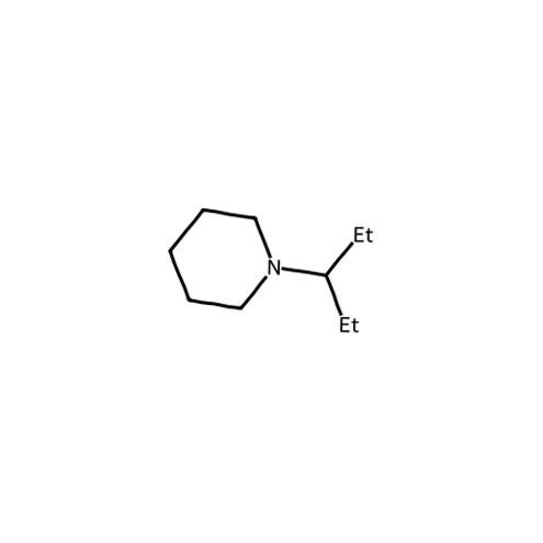 [CH2]CC(CC)N1CCCCC1